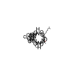 CC(C)CCCCCC[C@H]1OC(=O)CNC(=O)[C@H]([C@H](C)OCc2ccccc2)NC(=O)[C@H](CNC(=O)OCc2ccccc2)NC(=O)[C@H](C2CCCCC2)NC(=O)[C@H](CC(C)C)N(C)C(=O)[C@@H]1C